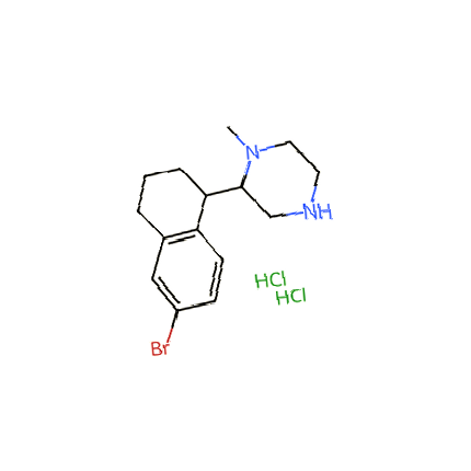 CN1CCNCC1C1CCCc2cc(Br)ccc21.Cl.Cl